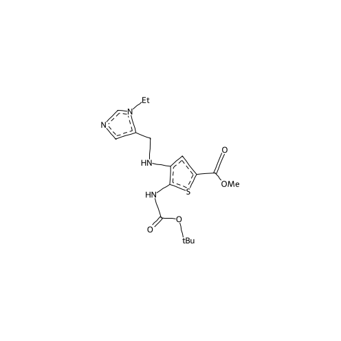 CCn1cncc1CNc1cc(C(=O)OC)sc1NC(=O)OC(C)(C)C